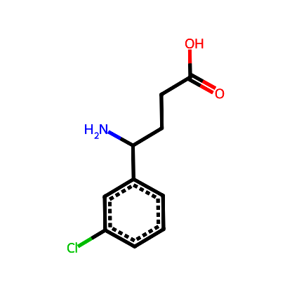 NC(CCC(=O)O)c1cccc(Cl)c1